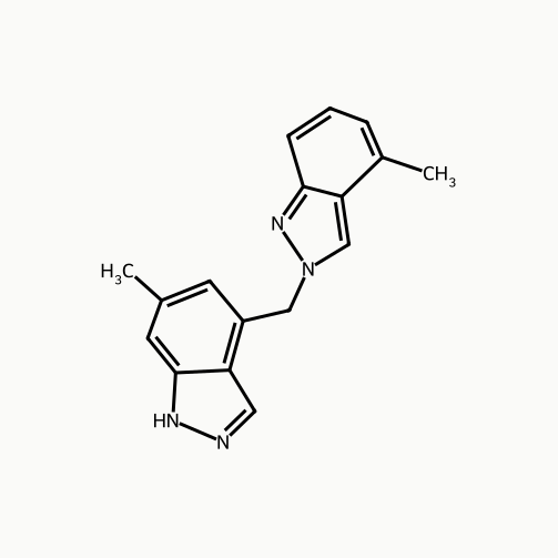 Cc1cc(Cn2cc3c(C)cccc3n2)c2cn[nH]c2c1